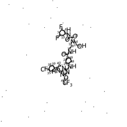 O=C(Nc1cc(F)cc(F)c1)C(=O)N(CCO)CCCNC(=O)c1ccc(Nc2nc(NC3(c4ccc(Cl)cc4)CC3)nc(OCC(F)(F)F)n2)cc1